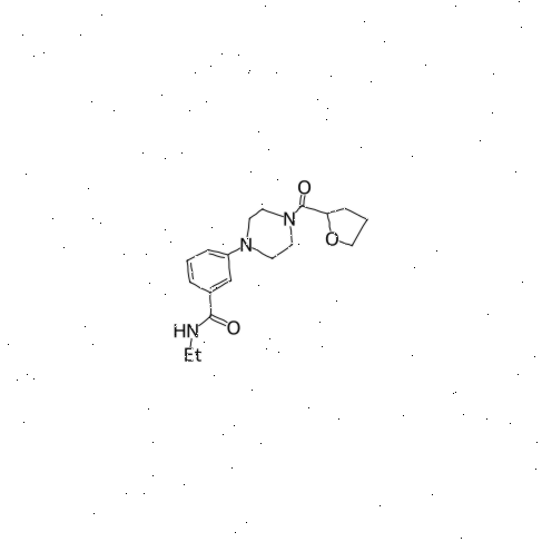 CCNC(=O)c1cccc(N2CCN(C(=O)C3CCCO3)CC2)c1